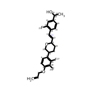 C=CCOc1ccc(C2CCC(/C=C/c3ccc(C(C)O)cc3F)OC2)c(F)c1F